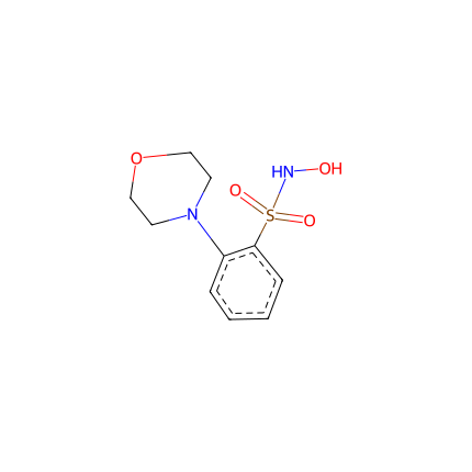 O=S(=O)(NO)c1ccccc1N1CCOCC1